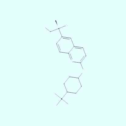 CC(C)(C)C1CCC(Oc2ccc3cc([C@@](C)(N)CO)ccc3n2)CC1